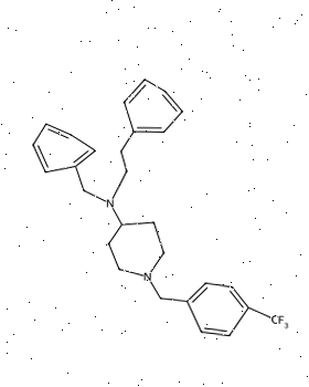 FC(F)(F)c1ccc(CN2CCC(N(CCc3ccccc3)Cc3ccccc3)CC2)cc1